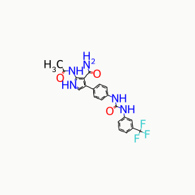 CC(=O)Nc1[nH]cc(-c2ccc(NC(=O)Nc3cccc(C(F)(F)F)c3)cc2)c1C(N)=O